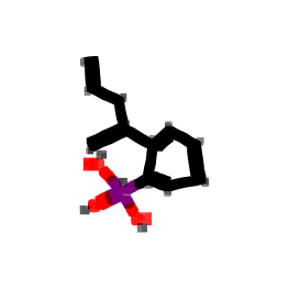 C=CCC(=C)c1ccccc1P(=O)(O)O